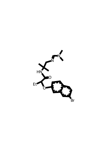 CCC(Oc1ccc2ccc(Br)cc2c1)C(=O)NC(C)(C)CN=CN(C)C